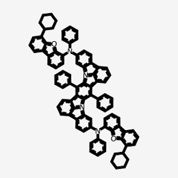 c1ccc(-c2c3c4cccc5c6ccc(N(c7ccccc7)c7cccc8c7oc7c(C9CCCCC9)cccc78)cc6n(c3c(-c3ccccc3)c3c6cccc7c8ccc(N(c9ccccc9)c9cccc%10c9oc9c(C%11CCCCC%11)cccc9%10)cc8n(c23)c76)c54)cc1